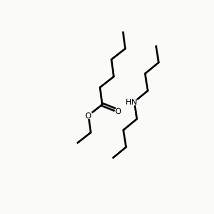 CCCCCC(=O)OCC.CCCCNCCCC